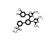 Cc1nc(-c2cc(-c3cccc(S(C)(=O)=O)c3)ccc2-n2cc(C(F)(F)F)nc2C)c(-c2ccc(F)c(Cl)c2)o1